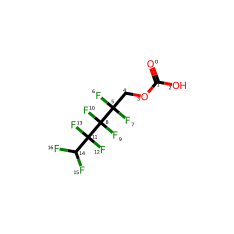 O=C(O)OCC(F)(F)C(F)(F)C(F)(F)C(F)F